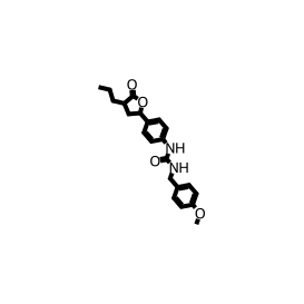 CCCC1CC(c2ccc(NC(=O)NCc3ccc(OC)cc3)cc2)OC1=O